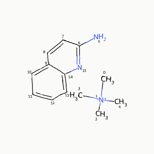 C[N+](C)(C)C.Nc1ccc2ccccc2n1